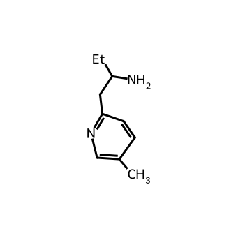 CCC(N)Cc1ccc(C)cn1